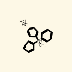 C[PH](c1ccccc1)(c1ccccc1)c1ccccc1.Cl.Cl